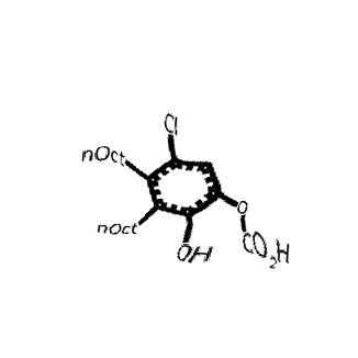 CCCCCCCCc1c(Cl)cc(OC(=O)O)c(O)c1CCCCCCCC